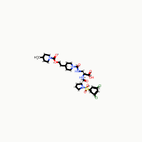 CC1CCN(C(=O)OCCC2CCN(C(=O)NC[C@H](NC(=O)[C@H]3CCCN3S(=O)(=O)c3cc(Cl)cc(Cl)c3)C(=O)O)CC2)CC1